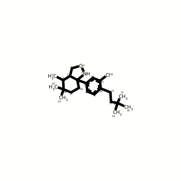 CC1C2CONC2(c2ccc(CCC(C)(C)C)c(Cl)c2)CCC1(C)C